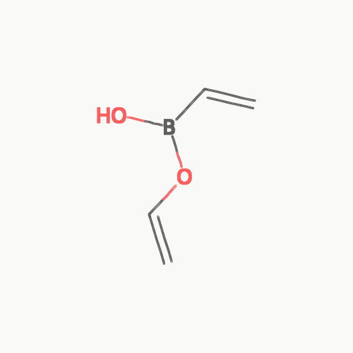 C=COB(O)C=C